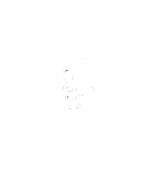 C=C(C)COc1nc(Nc2ccc(OCC)nc2)nc2c1ncn2CCCC